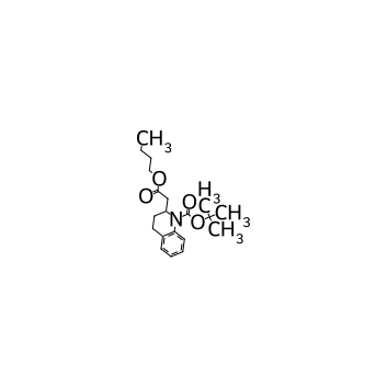 CCCCOC(=O)CC1CCc2ccccc2N1C(=O)OC(C)(C)C